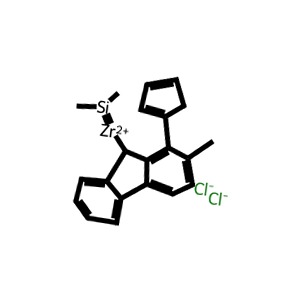 Cc1ccc2c(c1C1=CC=CC1)[CH]([Zr+2]=[Si](C)C)c1ccccc1-2.[Cl-].[Cl-]